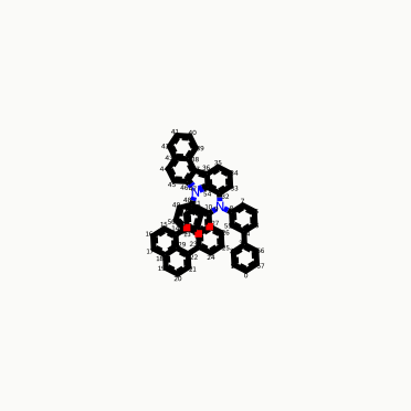 c1ccc(-c2cccc(N(c3ccc(-c4cccc5cccc(-c6ccccc6)c45)cc3)c3cccc4c5c6ccccc6ccc5n(-c5ccccc5)c34)c2)cc1